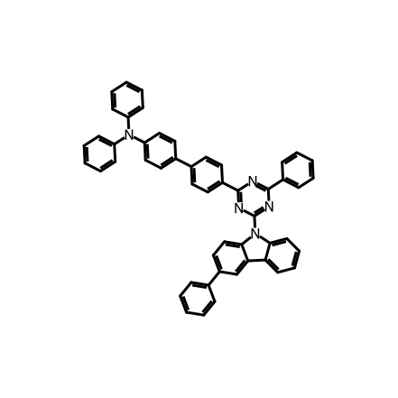 c1ccc(-c2ccc3c(c2)c2ccccc2n3-c2nc(-c3ccccc3)nc(-c3ccc(-c4ccc(N(c5ccccc5)c5ccccc5)cc4)cc3)n2)cc1